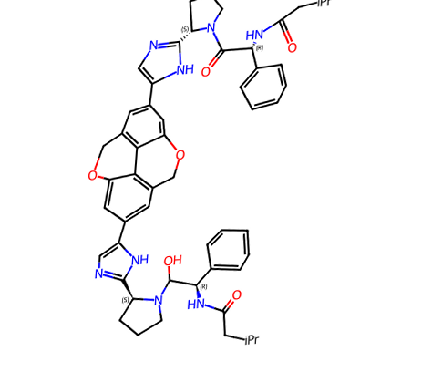 CC(C)CC(=O)N[C@H](c1ccccc1)C(O)N1CCC[C@H]1c1ncc(-c2cc3c4c(c2)OCc2cc(-c5cnc([C@@H]6CCCN6C(=O)[C@H](NC(=O)CC(C)C)c6ccccc6)[nH]5)cc(c2-4)OC3)[nH]1